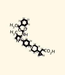 Cc1cnn(-c2ccc(N3CCC(C4(CC(=O)O)CC4)CC3)cc2)c1NC(=O)OC(C)c1ccccc1